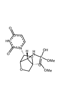 COC[C@@]12COC([C@H](n3ccc(=O)[nH]c3=O)O1)[C@@H]2NP(=O)(O)OC